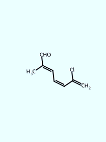 C=C(Cl)/C=C\C=C(/C)C=O